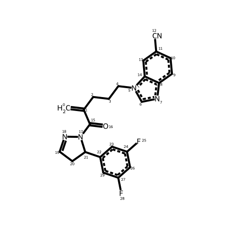 C=C(CCCn1cnc2ccc(C#N)cc21)C(=O)N1N=CCC1c1cc(F)cc(F)c1